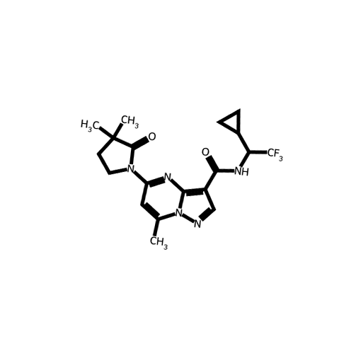 Cc1cc(N2CCC(C)(C)C2=O)nc2c(C(=O)NC(C3CC3)C(F)(F)F)cnn12